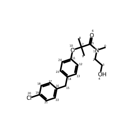 CN(CCO)C(=O)C(C)(C)Oc1ccc(Cc2ccc(Cl)cc2)cc1